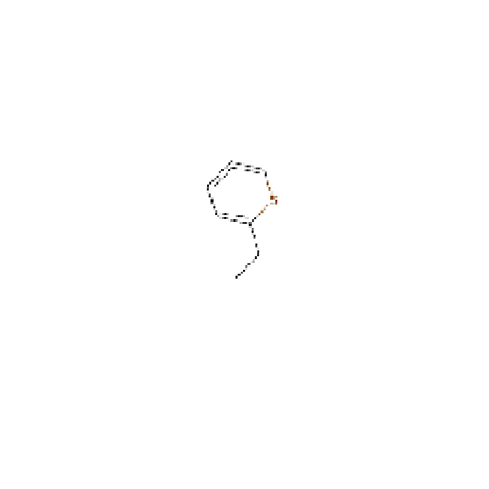 CCC1=CC=C=CS1